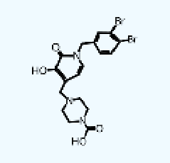 O=C(O)N1CCN(Cc2ccn(Cc3ccc(Br)c(Br)c3)c(=O)c2O)CC1